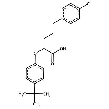 CC(C)(C)c1ccc(OC(CCCc2ccc(Cl)cc2)C(=O)O)cc1